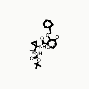 C[C@H](NC(=O)OC(C)(C)C)C1(NC(=O)c2occc(=O)c2OCc2ccccc2)CC1